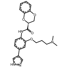 CN(C)CCCOc1cc(-c2cn[nH]c2)ccc1NC(=O)[C@@H]1COc2ccccc2O1